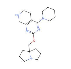 C1CCN(c2nc(OCC34CCCN3CCC4)nc3c2CCNC3)CC1